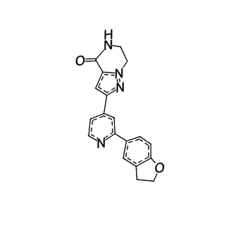 O=C1NCCn2nc(-c3ccnc(-c4ccc5c(c4)CCO5)c3)cc21